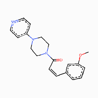 COc1cccc(/C=C\C(=O)N2CCN(c3ccncc3)CC2)c1